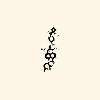 C[C@@H](/C(C=N)=C/NC1CCN(C(=O)C2(C)CCC2)CC1)c1ccc2c3c(cccc13)C(=O)N2C1CCC(=O)NC1=O